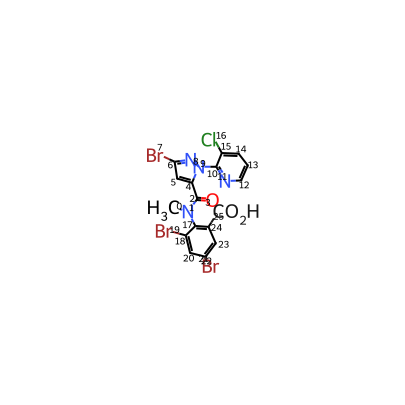 CN(C(=O)c1cc(Br)nn1-c1ncccc1Cl)c1c(Br)cc(Br)cc1C(=O)O